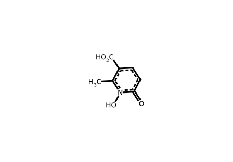 Cc1c(C(=O)O)ccc(=O)n1O